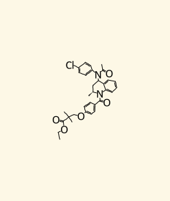 CCOC(=O)C(C)(C)COc1ccc(C(=O)N2c3ccccc3[C@H](N(C(C)=O)c3ccc(Cl)cc3)C[C@@H]2C)cc1